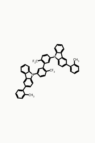 Cc1ccccc1-c1ccc2c(c1)c1ccccc1n2-c1ccc(C(F)(F)F)c(-c2cc(-n3c4ccccc4c4cc(-c5ccccc5C)ccc43)ccc2C(F)(F)F)c1